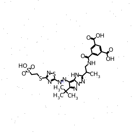 CC(CNC(=O)c1cc(C(=O)O)cc(C(=O)O)c1)c1nn2nc(C(C)(C)C)c(/N=N/c3nc(SCCS(=O)(=O)O)ns3)c2[nH]1